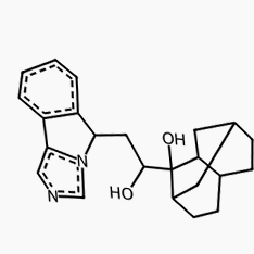 OC(CC1c2ccccc2-c2cncn21)C1(O)C2CCC3CCC(C2)CC31